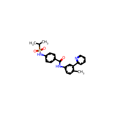 Cc1ccc(NC(=O)c2ccc(NS(=O)(=O)C(C)C)cc2)cc1-c1ccccn1